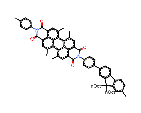 CCCCCCCCC1(CCCCCCCC)c2cc(C)ccc2-c2ccc(-c3ccc(N4C(=O)c5cc(C)c6c7c(C)cc8c9c(cc(C)c(c%10c(C)cc(c5c6%10)C4=O)c97)C(=O)N(c4ccc(C)cc4)C8=O)cc3)cc21